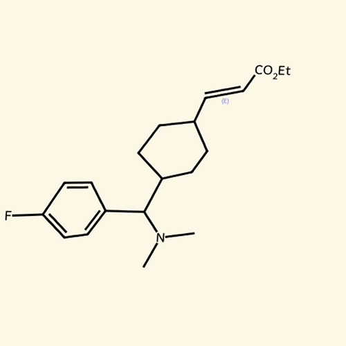 CCOC(=O)/C=C/C1CCC(C(c2ccc(F)cc2)N(C)C)CC1